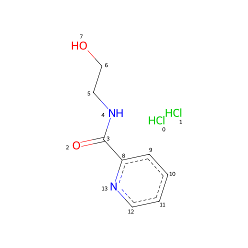 Cl.Cl.O=C(NCCO)c1ccccn1